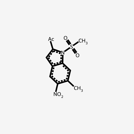 CC(=O)c1cc2cc([N+](=O)[O-])c(C)cc2n1S(C)(=O)=O